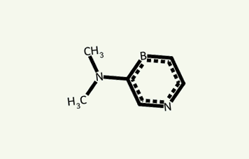 CN(C)c1bccnc1